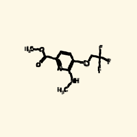 CNc1nc(C(=O)OC)ccc1OCC(F)(F)F